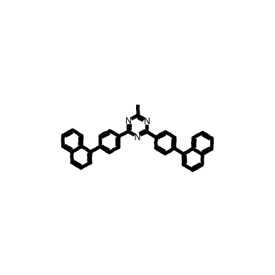 Cc1nc(-c2ccc(-c3cccc4ccccc34)cc2)nc(-c2ccc(-c3cccc4ccccc34)cc2)n1